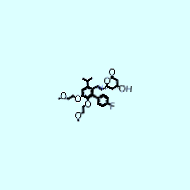 COCCOc1cc(C(C)C)c(/C=C/[C@@H]2C[C@@H](O)CC(=O)O2)c(-c2ccc(F)cc2)c1OCCOC